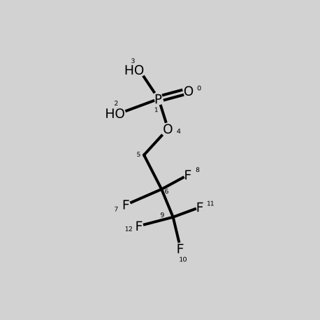 O=P(O)(O)OCC(F)(F)C(F)(F)F